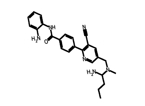 CCCC(N)N(C)Cc1cnc(-c2ccc(C(=O)Nc3ccccc3N)cc2)c(C#N)c1